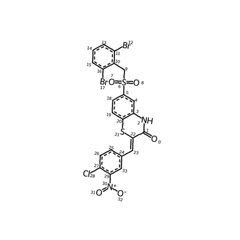 O=C1Nc2cc(S(=O)(=O)Cc3c(Br)cccc3Br)ccc2SC1=Cc1ccc(Cl)c([N+](=O)[O-])c1